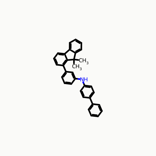 CC1(C)c2ccccc2-c2cccc(-c3cccc(Nc4ccc(-c5ccccc5)cc4)c3)c21